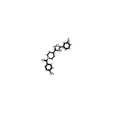 CC(C)c1ccc(C(=O)N2CCC(C3=NOC(c4cccc(F)c4)N3)CC2)cc1